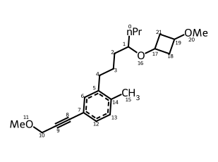 CCCC(CCCc1cc(C#CCOC)ccc1C)OC1CC(OC)C1